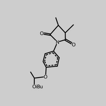 CC(C)COC(C)Oc1ccc(N2C(=O)C(C)C(C)C2=O)cc1